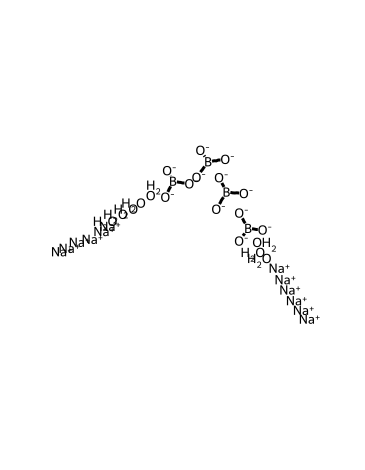 O.O.O.O.O.O.O.O.[Na+].[Na+].[Na+].[Na+].[Na+].[Na+].[Na+].[Na+].[Na+].[Na+].[Na+].[Na+].[O-]B([O-])[O-].[O-]B([O-])[O-].[O-]B([O-])[O-].[O-]B([O-])[O-]